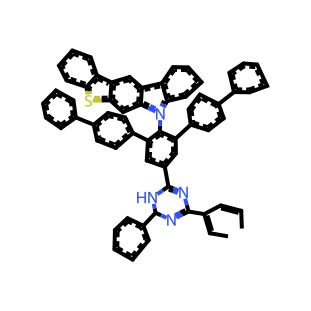 C/C=C\C(=C/C)C1=NC(c2ccccc2)NC(c2cc(-c3ccc(-c4ccccc4)cc3)c(-n3c4ccccc4c4cc5c(cc43)sc3ccccc35)c(-c3ccc(-c4ccccc4)cc3)c2)=N1